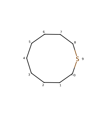 [C]1CCCCCCCCS1